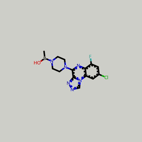 CB(O)N1CCN(c2nc3c(F)cc(Cl)cc3n3cnnc23)CC1